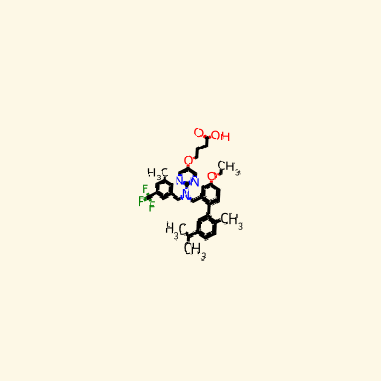 CCOc1ccc(-c2cc(C(C)C)ccc2C)c(CN(Cc2cc(C)cc(C(F)(F)F)c2)c2ncc(OCCCC(=O)O)cn2)c1